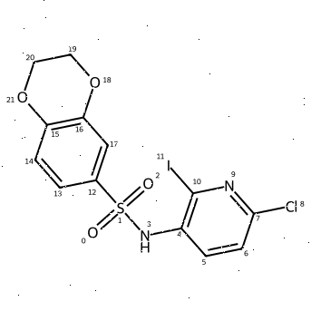 O=S(=O)(Nc1ccc(Cl)nc1I)c1ccc2c(c1)OCCO2